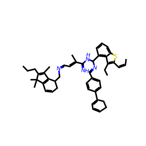 C/C=C\c1sc2cccc(C(/N=C/c3ccc(C4=CC=CCC4)cc3)NC(=N)/C(C)=C/C=N\CC3CC=CC4=C3C(C)=C(CCC)C4(C)C)c2c1CC